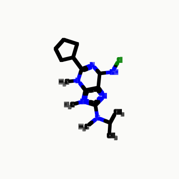 CC(C)N(C)c1nc2c(n1C)N(C)C(C1CCCC1)=NC2NCl